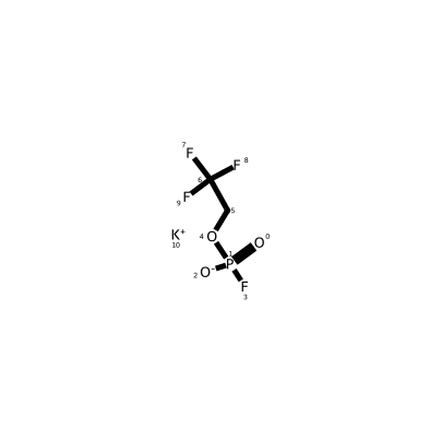 O=P([O-])(F)OCC(F)(F)F.[K+]